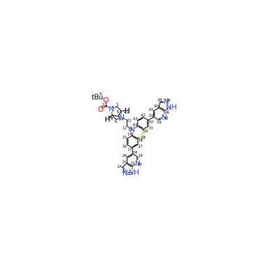 CC(C)(C)OC(=O)N1C[C@H]2C[C@@H]1CN2CCN1c2ccc(-c3cnc4[nH]ncc4c3)cc2Sc2cc(-c3cnc4[nH]ncc4c3)ccc21